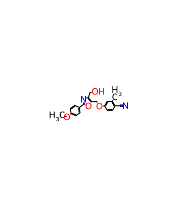 COc1ccc(-c2nc(CO)c(COc3ccc(C#N)c(C)c3)o2)cc1